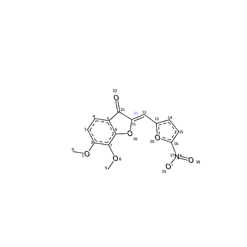 COc1ccc2c(c1OC)O/C(=C\c1ccc([N+](=O)[O-])o1)C2=O